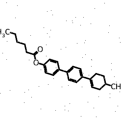 CCCCCC(=O)Oc1ccc(-c2ccc(C3=CCC(C)CC3)cc2)cc1